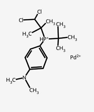 CN(C)c1ccc([PH+](C(C)(C)C)C(C)(C)C(Cl)Cl)cc1.[Pd+2]